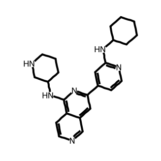 c1cc2c(NC3CCCNC3)nc(-c3ccnc(NC4CCCCC4)c3)cc2cn1